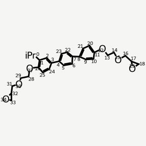 CC(C)c1cc(-c2ccc(-c3ccc(OCCOCC4CO4)cc3)cc2)ccc1OCCOCC1CO1